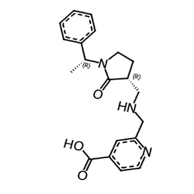 C[C@H](c1ccccc1)N1CC[C@H](CNCc2cc(C(=O)O)ccn2)C1=O